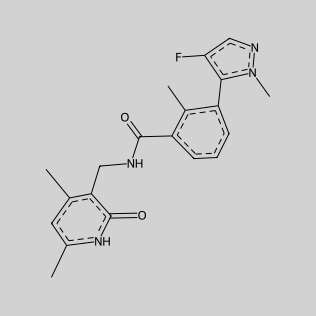 Cc1cc(C)c(CNC(=O)c2cccc(-c3c(F)cnn3C)c2C)c(=O)[nH]1